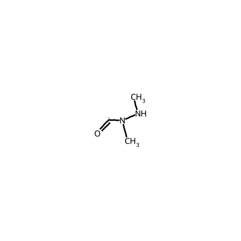 CNN(C)[C]=O